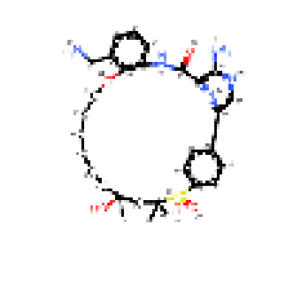 CC1(C)C[C@](C)(O)CCCCCCOc2c(CN)cccc2NC(=O)c2nc(cnc2N)-c2ccc(cc2)S1(=O)=O